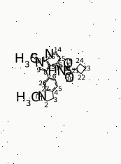 CN1CCc2ccc(-c3cn(C)c4nccc(NS(=O)(=O)C5CCC5)c34)cc21